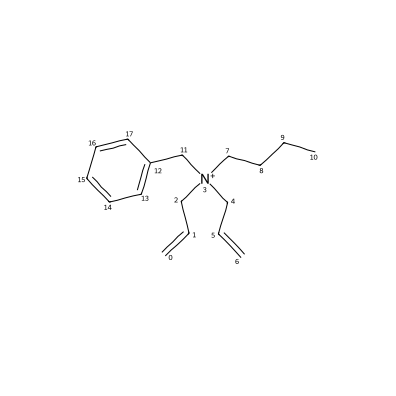 C=CC[N+](CC=C)(CCCC)Cc1ccccc1